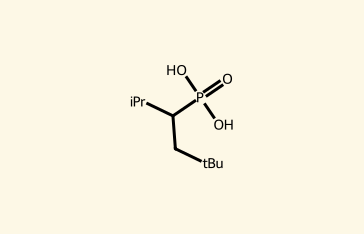 CC(C)C(CC(C)(C)C)P(=O)(O)O